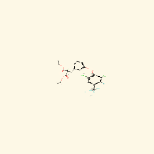 CCOC(=O)C(Cl)(Cc1cccc(Oc2c(Cl)cc(C(F)(F)F)c(F)c2Cl)c1)C(=O)OCC